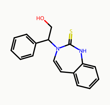 OCC(c1ccccc1)N1C=Cc2ccccc2NC1=S